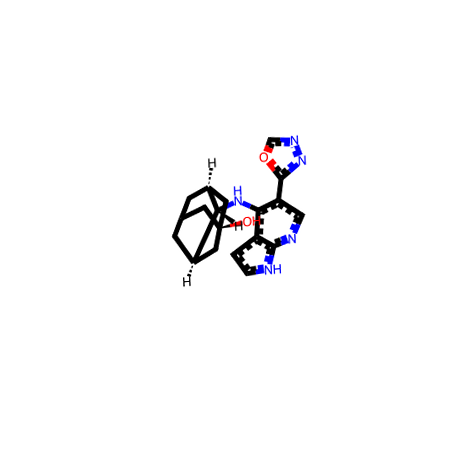 O[C@]12CC3C[C@H](C1)[C@@H](Nc1c(-c4nnco4)cnc4[nH]ccc14)[C@@H](C3)C2